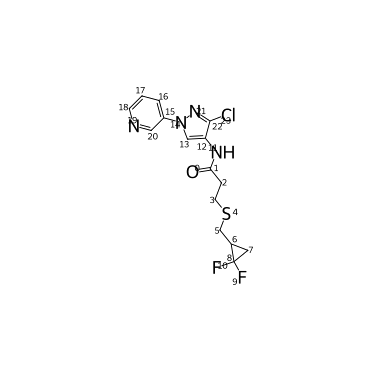 O=C(CCSCC1CC1(F)F)Nc1cn(-c2cccnc2)nc1Cl